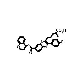 CC(CCCc1nc2cc(C(=O)NC3CCOc4ccccc43)ccc2nc1-c1ccc(F)cc1)C(=O)O